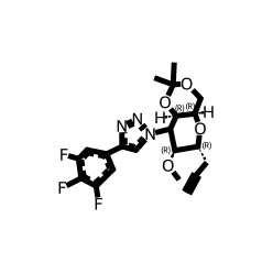 C#CC[C@H]1O[C@@H]2COC(C)(C)O[C@@H]2C(n2cc(-c3cc(F)c(F)c(F)c3)nn2)[C@H]1OC